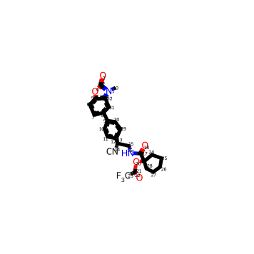 Cn1c(=O)oc2ccc(-c3ccc(C(C#N)CNC(=O)C4(OC(=O)C(F)(F)F)CCCCC4)cc3)cc21